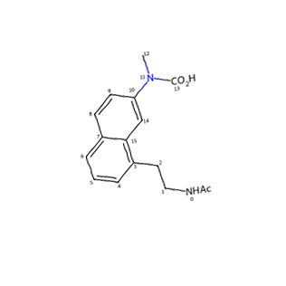 CC(=O)NCCc1cccc2ccc(N(C)C(=O)O)cc12